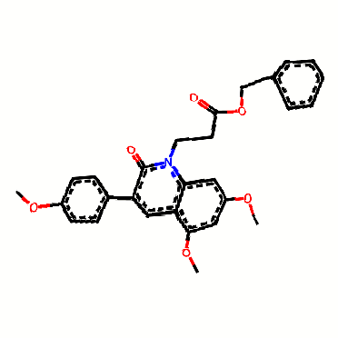 COc1ccc(-c2cc3c(OC)cc(OC)cc3n(CCC(=O)OCc3ccccc3)c2=O)cc1